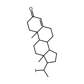 CC(I)C1CCC2C3CCC4=CC(=O)CCC4(C)C3CCC12C